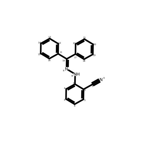 N#Cc1ccccc1NN=C(c1ccccc1)c1ccccc1